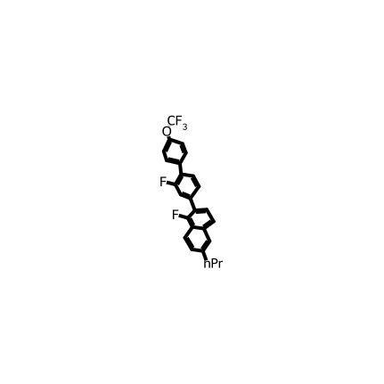 CCCc1ccc2c(F)c(-c3ccc(-c4ccc(OC(F)(F)F)cc4)c(F)c3)ccc2c1